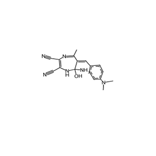 CC1=NC(C#N)=C(C#N)NC(N)(O)/C1=C\c1ccc(N(C)C)cc1